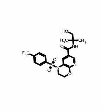 CC(C)(CO)NC(=O)c1cnc2c(c1)N(S(=O)(=O)c1ccc(C(F)(F)F)cc1)CCO2